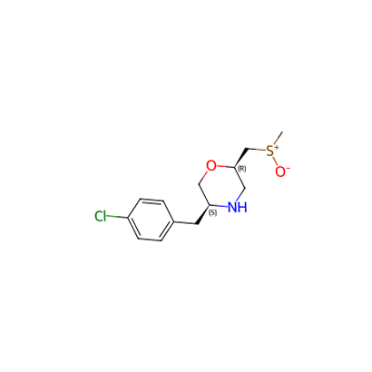 C[S+]([O-])C[C@H]1CN[C@@H](Cc2ccc(Cl)cc2)CO1